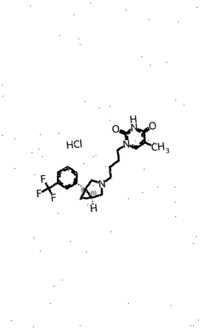 Cc1cn(CCCCN2C[C@H]3C[C@@]3(c3cccc(C(F)(F)F)c3)C2)c(=O)[nH]c1=O.Cl